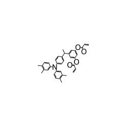 C=CC(=O)Oc1cc(OC(=O)C=C)cc(C(C)c2ccc(N(c3ccc(C)c(C)c3)c3ccc(C)c(C)c3)cc2)c1